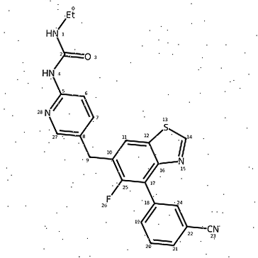 CCNC(=O)Nc1ccc(Cc2cc3scnc3c(-c3cccc(C#N)c3)c2F)cn1